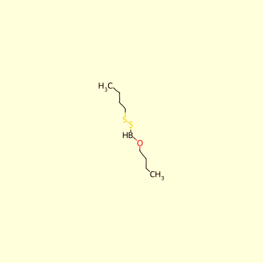 CCCCOBSSCCCC